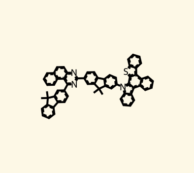 CC1(C)c2ccccc2-c2ccc(-c3nc(-c4ccc5c(c4)C(C)(C)c4cc(-n6c7ccccc7c7c8ccccc8c8c9ccccc9sc8c76)ccc4-5)nc4ccc5ccccc5c34)cc21